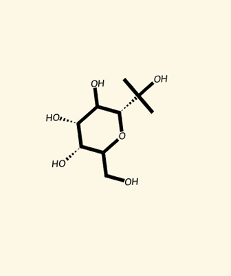 CC(C)(O)[C@@H]1OC(CO)[C@H](O)[C@H](O)C1O